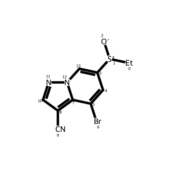 CC[S+]([O-])c1cc(Br)c2c(C#N)cnn2c1